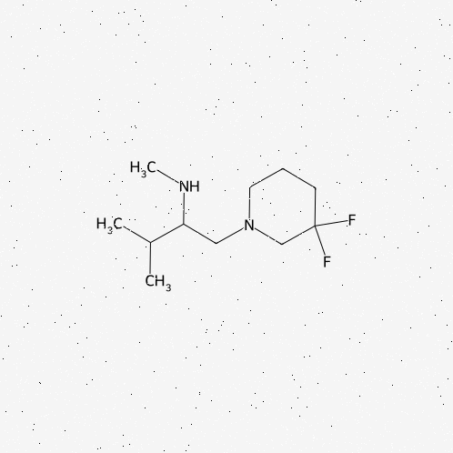 CNC(CN1CCCC(F)(F)C1)C(C)C